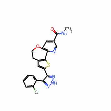 CNC(=O)c1cnc2c(c1)OCCc1cc(-c3n[nH]nc3-c3ccccc3Cl)sc1-2